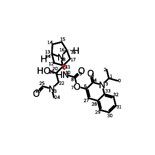 CC(C)n1c(=O)c(OC(=O)N[C@@H]2C[C@H]3CC[C@@H](C2)N3CC(O)CN(C)C=O)cc2ccccc21